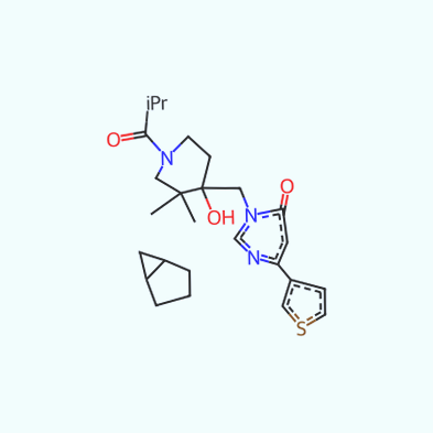 C1CC2CC2C1.CC(C)C(=O)N1CCC(O)(Cn2cnc(-c3ccsc3)cc2=O)C(C)(C)C1